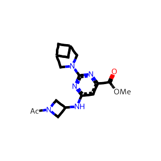 COC(=O)c1cc(NC2CN(C(C)=O)C2)nc(N2CC3CC(C3)C2)n1